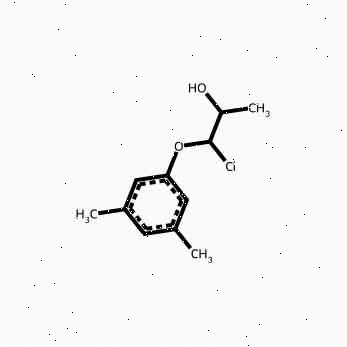 Cc1cc(C)cc(OC(Cl)C(C)O)c1